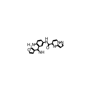 N=C(c1ccoc1)c1cc(NC(=O)c2ccn3nccc3n2)ccc1N